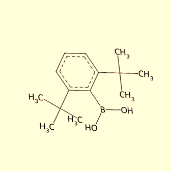 CC(C)(C)c1cccc(C(C)(C)C)c1B(O)O